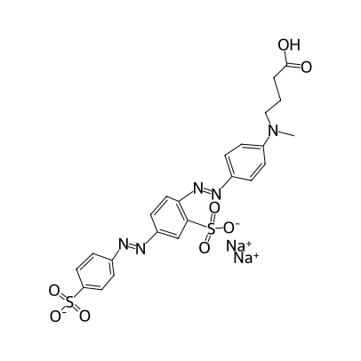 CN(CCCC(=O)O)c1ccc(/N=N/c2ccc(/N=N/c3ccc(S(=O)(=O)[O-])cc3)cc2S(=O)(=O)[O-])cc1.[Na+].[Na+]